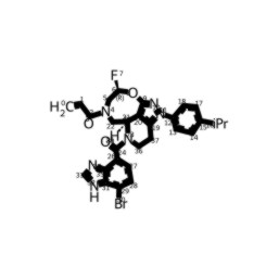 C=CC(=O)N1C[C@@H](F)Oc2nn(-c3ccc(C(C)C)cc3)c3c2[C@H](C1)N(C(=O)c1ccc(Br)c2[nH]cnc12)CC3